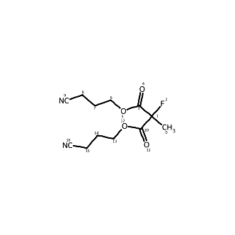 CC(F)(C(=O)OCCCC#N)C(=O)OCCCC#N